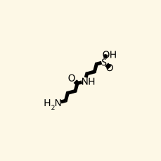 NCCCC(=O)NCCCS(=O)O